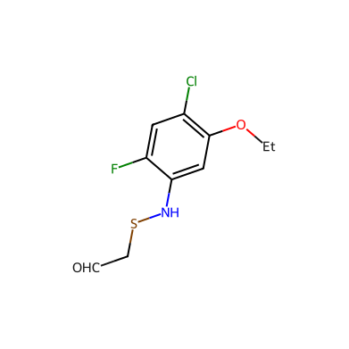 CCOc1cc(NSCC=O)c(F)cc1Cl